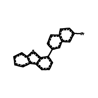 CC(C)c1ccc2ccc(-c3cccc4c3sc3ccccc34)cc2c1